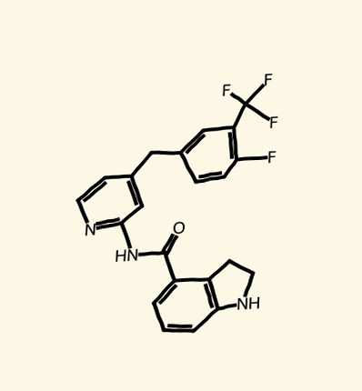 O=C(Nc1cc(Cc2ccc(F)c(C(F)(F)F)c2)ccn1)c1cccc2c1CCN2